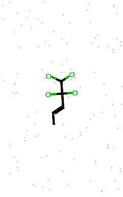 CC=CC(Cl)(Cl)[C](Cl)Cl